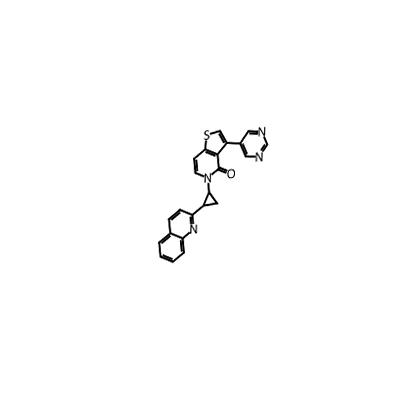 O=c1c2c(-c3cncnc3)csc2ccn1C1CC1c1ccc2ccccc2n1